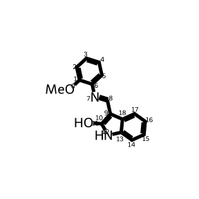 COc1ccccc1N=Cc1c(O)[nH]c2ccccc12